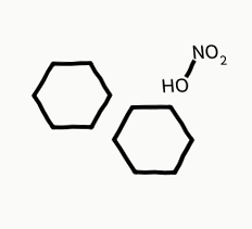 C1CCCCC1.C1CCCCC1.O=[N+]([O-])O